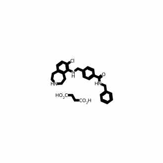 O=C(NCc1ccccc1)c1ccc(CNc2c(Cl)ccc3c2CCNCC3)cc1.O=C(O)CCC(=O)O